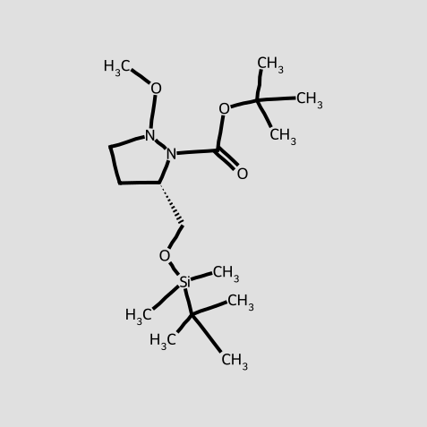 CON1CC[C@@H](CO[Si](C)(C)C(C)(C)C)N1C(=O)OC(C)(C)C